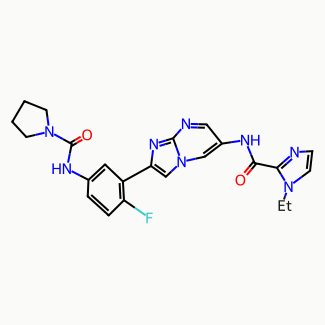 CCn1ccnc1C(=O)Nc1cnc2nc(-c3cc(NC(=O)N4CCCC4)ccc3F)cn2c1